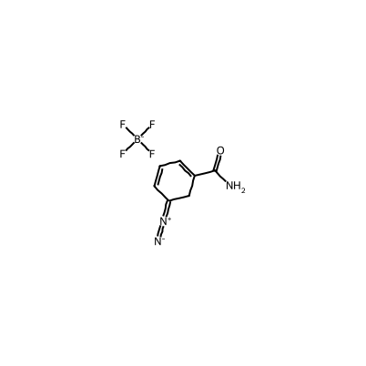 F[B-](F)(F)F.[N-]=[N+]=C1C=CC=C(C(N)=O)C1